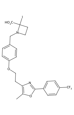 Cc1oc(-c2ccc(C(F)(F)F)cc2)nc1CCOc1ccc(CN2CCC2(I)C(=O)O)cc1